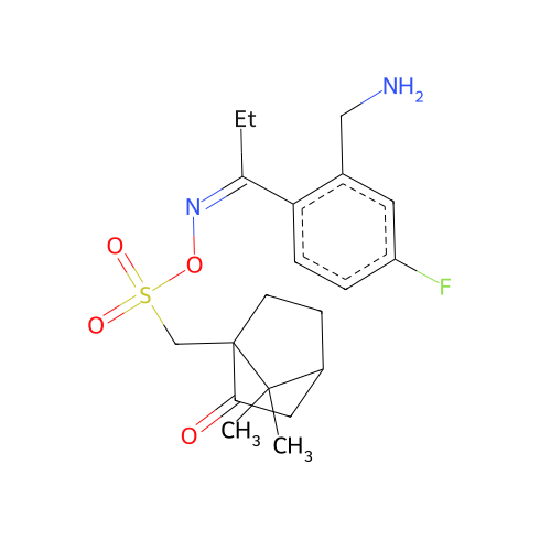 CCC(=NOS(=O)(=O)CC12CCC(CC1=O)C2(C)C)c1ccc(F)cc1CN